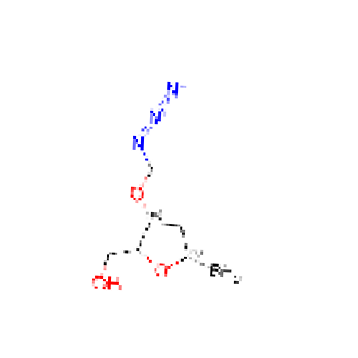 B[C@H]1C[C@@H](OCN=[N+]=[N-])C(CO)O1